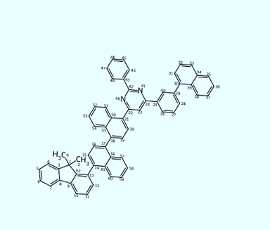 CC1(C)c2ccccc2-c2cccc(-c3ccc(-c4ccc(-c5cc(-c6cccc(-c7cccc8ccccc78)c6)nc(-c6ccccc6)n5)c5ccccc45)c4ccccc34)c21